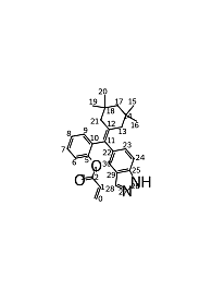 C=CC(=O)Oc1ccccc1C(=C1CC(C)(C)CC(C)(C)C1)c1ccc2[nH]ncc2c1